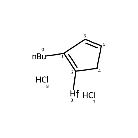 CCCCC1=[C]([Hf])CC=C1.Cl.Cl